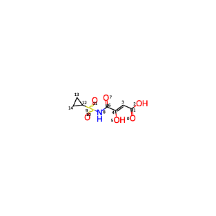 O=C(O)C=C(O)C(=O)NS(=O)(=O)C1CC1